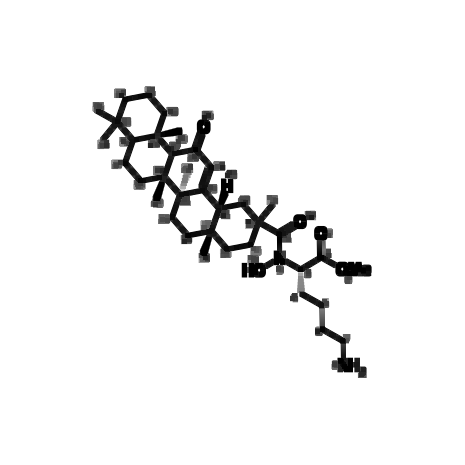 COC(=O)[C@H](CCCCN)N(O)C(=O)C1(C)CC[C@]2(C)CC[C@]3(C)C(=CC(=O)C4[C@@]5(C)CCCC(C)(C)C5CC[C@]43C)[C@@H]2C1